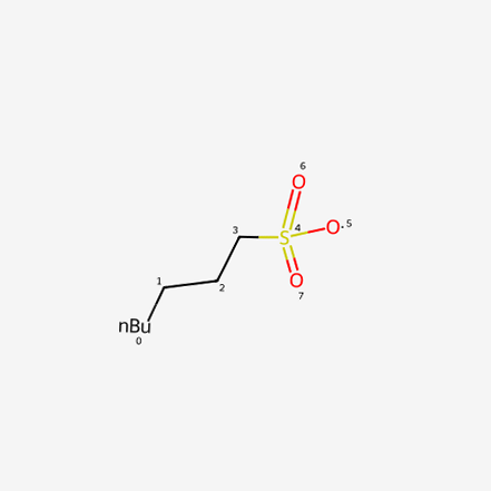 CCCCCCCS([O])(=O)=O